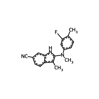 Cc1ccc(N(C)c2[nH]c3cc(C#N)ccc3c2C)cc1F